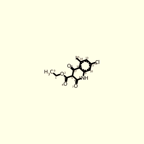 CCOC(=O)C1C(=O)Nc2cc(Cl)cc(I)c2C1=O